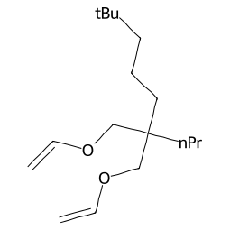 C=COCC(CCC)(CCCC(C)(C)C)COC=C